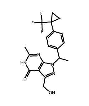 Cc1nc2c(c(CO)nn2C(C)c2ccc(C3(C(F)(F)F)CC3)cc2)c(=O)[nH]1